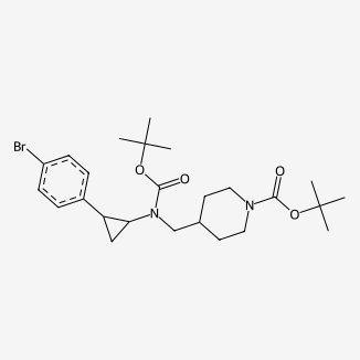 CC(C)(C)OC(=O)N1CCC(CN(C(=O)OC(C)(C)C)C2CC2c2ccc(Br)cc2)CC1